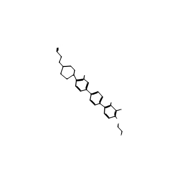 C=CCCC1CCC(c2ccc(-c3ccc(-c4ccc(OCCC)c(F)c4F)cc3)cc2F)CC1